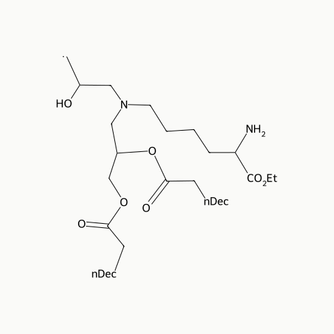 [CH2]C(O)CN(CCCCC(N)C(=O)OCC)CC(COC(=O)CCCCCCCCCCC)OC(=O)CCCCCCCCCCC